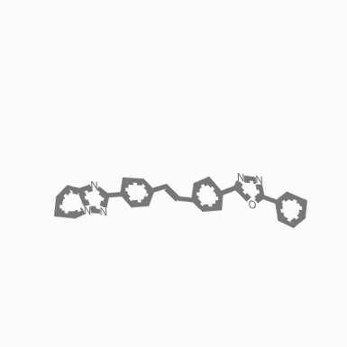 C(=Cc1ccc(-c2nnc(-c3ccccc3)o2)cc1)c1ccc(-c2nc3ccccn3n2)cc1